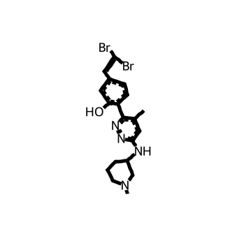 Cc1cc(NC2CCCN(C)C2)nnc1-c1ccc(C=C(Br)Br)cc1O